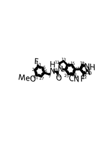 COc1cc(F)cc(CNC(=O)N2CCc3cc(-c4c[nH]nc4F)c(C#N)cc32)c1